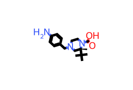 CC(C)(C)[C@]1(C)CN(Cc2ccc(N)cc2)CCN1C(=O)O